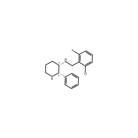 Fc1cccc(Cl)c1CN[C@H]1CCCN[C@H]1c1ccccc1